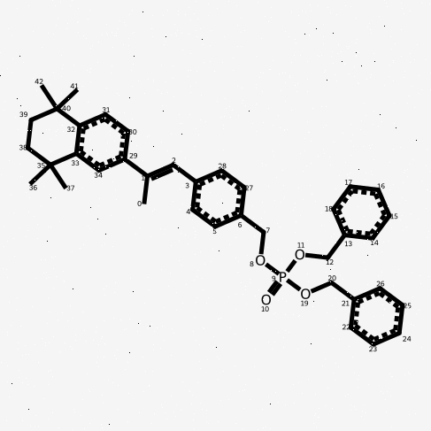 CC(=Cc1ccc(COP(=O)(OCc2ccccc2)OCc2ccccc2)cc1)c1ccc2c(c1)C(C)(C)CCC2(C)C